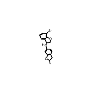 CC1[CH]c2ccc(N[C@@H]3COc4c(Br)cccc43)cc2O1